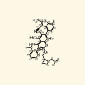 CC(Nc1nc(OCC2CCN2CC(F)F)nc2c(F)c(-c3ccc(F)c4sc(N)c(C#N)c34)c(Cl)c(O)c12)c1cccnc1N